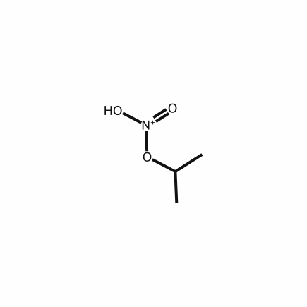 CC(C)O[N+](=O)O